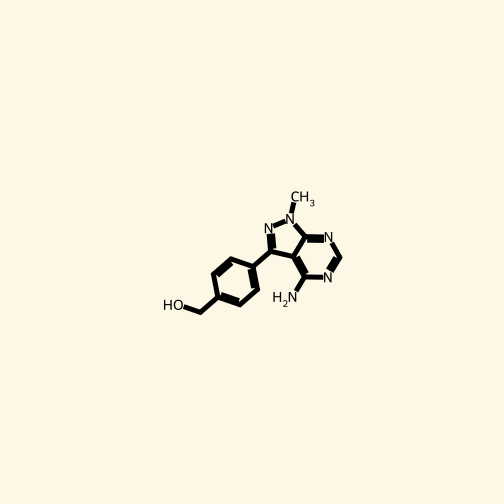 Cn1nc(-c2ccc(CO)cc2)c2c(N)ncnc21